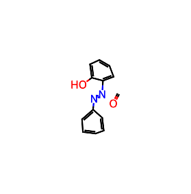 C=O.Oc1ccccc1N=Nc1ccccc1